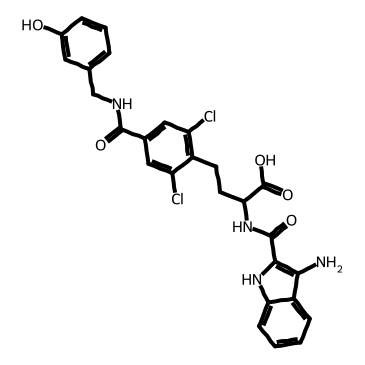 Nc1c(C(=O)NC(CCc2c(Cl)cc(C(=O)NCc3cccc(O)c3)cc2Cl)C(=O)O)[nH]c2ccccc12